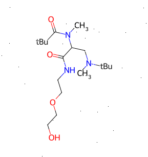 CN(C(=O)C(C)(C)C)C(CN(C)C(C)(C)C)C(=O)NCCOCCO